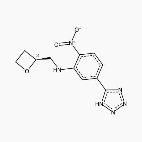 O=[N+]([O-])c1ccc(-c2nnn[nH]2)cc1NC[C@@H]1CCO1